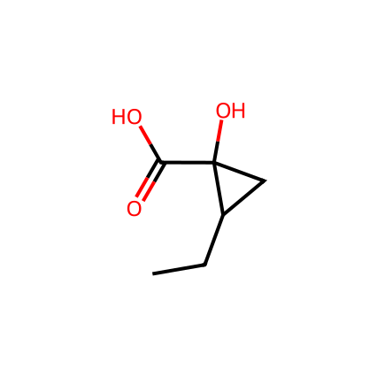 CCC1CC1(O)C(=O)O